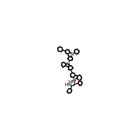 N=C(/C=C(\Nn1c2ccccc2c2cc(-c3ccc4c(c3)c3ccccc3n4-c3ccc4c(c3)c3cc(-c5ccccc5)ccc3n4-c3ccccc3)ccc21)c1ccccc1)c1ccccc1